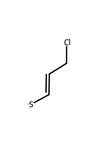 [S]C=CCCl